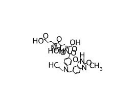 C#CCN(Cc1ccc2nc(OC)[nH]c(=O)c2c1)c1ccc(C(=O)N[C@H](CC(C(=O)O)C(=O)[C@H](N)CCC(=O)O)C(=O)O)cc1